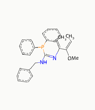 C/C=C(/N=C(/NCc1ccccc1)P(c1ccccc1)c1ccccc1)C(=C/C)\OC